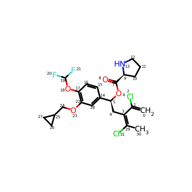 C=C(Cl)/C(C[C@H](OC(=O)[C@@H]1CCCN1)c1ccc(OC(F)F)c(OCC2CC2)c1)=C(\C)Cl